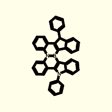 c1ccc(C2C3=C(B4c5c(n(-c6ccccc6)c6ccccc56)-c5ccccc5N4c4ccccc43)c3ccccc32)cc1